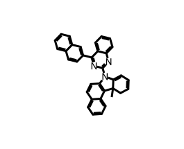 CC12CC=CC=C1N(c1nc(-c3ccc4ccccc4c3)c3ccccc3n1)c1ccc3ccccc3c12